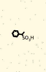 C[C](c1ccccc1)S(=O)(=O)O